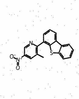 Cc1cc([N+](=O)[O-])cnc1-c1cccc2c1sc1ccccc12